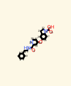 O=C(NCCc1ccccc1)c1cc(Oc2ccc3c(c2)CCN3C(=O)O)ccn1